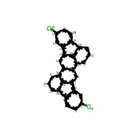 Clc1ccc2c(c1)c1cc3c(cc4c5cc(Cl)ccc5c5cccc3c54)c3cccc2c31